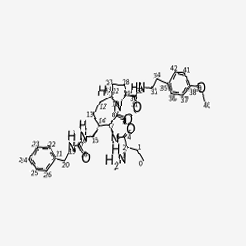 CC[C@H](N)C(=O)N[C@@H]1C(=O)N2[C@@H](CC[C@@H]1CNC(=O)NCc1ccccc1)CC[C@H]2C(=O)NCCc1ccc(OC)cc1